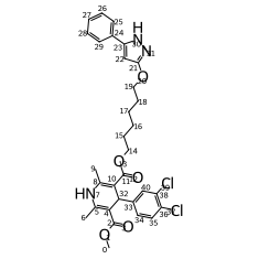 COC(=O)C1=C(C)NC(C)=C(C(=O)OCCCCCCOc2cc(-c3ccccc3)[nH]n2)C1c1ccc(Cl)c(Cl)c1